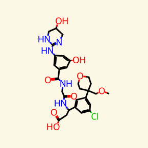 COCC1(c2cc(Cl)cc(C(CC(=O)O)NC(=O)CNC(=O)c3cc(O)cc(NC4=NCC(O)CN4)c3)c2)CCOCC1